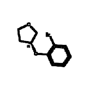 Brc1ccccc1O[C@H]1CCOC1